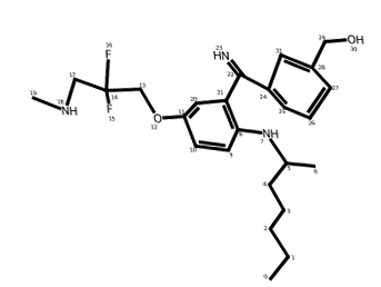 CCCCCC(C)Nc1ccc(OCC(F)(F)CNC)cc1C(=N)c1cccc(CO)c1